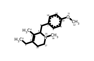 CCC1=C(C)C(Cc2ccc(OC)cc2)N(C)CC1